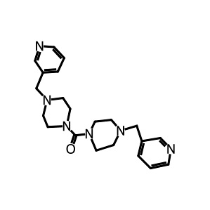 O=C(N1CCN(Cc2cccnc2)CC1)N1CCN(Cc2cccnc2)CC1